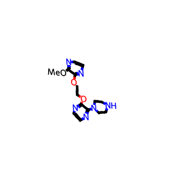 COc1nccnc1OCCOc1nccnc1N1CCNCC1